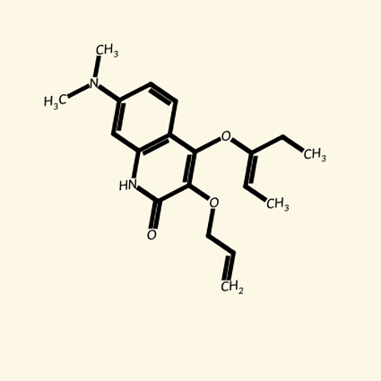 C=CCOc1c(OC(=CC)CC)c2ccc(N(C)C)cc2[nH]c1=O